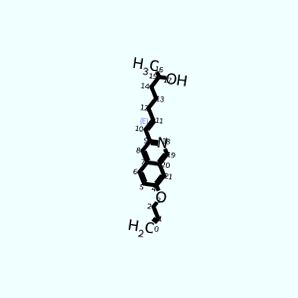 C=CCOc1ccc2cc(/C=C/CCCC(C)O)ncc2c1